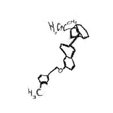 Cc1ccc(COc2ccc3cc(C4=C(CN(C)C)C5CCC4CC5)ccc3c2)cc1